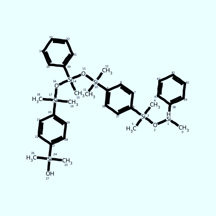 C[SiH](O[Si](C)(C)c1ccc([Si](C)(C)O[Si](C)(O[Si](C)(C)c2ccc([Si](C)(C)O)cc2)c2ccccc2)cc1)c1ccccc1